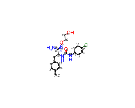 CC(=O)c1ccc(C[C@H](NC(=O)Nc2ccc(Cl)cc2)/C(N)=N/OCCO)cc1